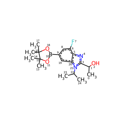 CC(O)c1nc2c(F)cc(B3OC(C)(C)C(C)(C)O3)cc2n1C(C)C